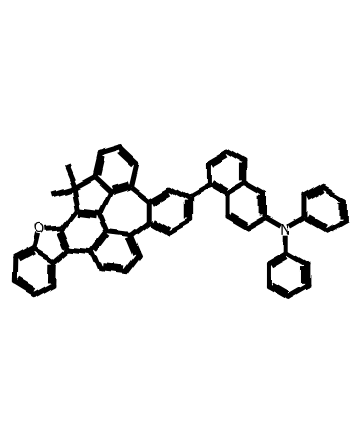 CC1(C)c2cccc3c2-c2c1c1oc4ccccc4c1c1cccc(c21)-c1ccc(-c2cccc4cc(N(c5ccccc5)c5ccccc5)ccc24)cc1-3